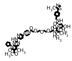 CC(=O)c1c(C)c2cnc(Nc3ccc(N4CCN(C(=O)COCCOCCOCC(=O)N[C@H](C(=O)N5C[C@H](O)C[C@H]5C(=O)NCc5ccc(-c6scnc6C)cc5)C(C)(C)C)CC4)cn3)nc2n(C2CCCC2)c1=O